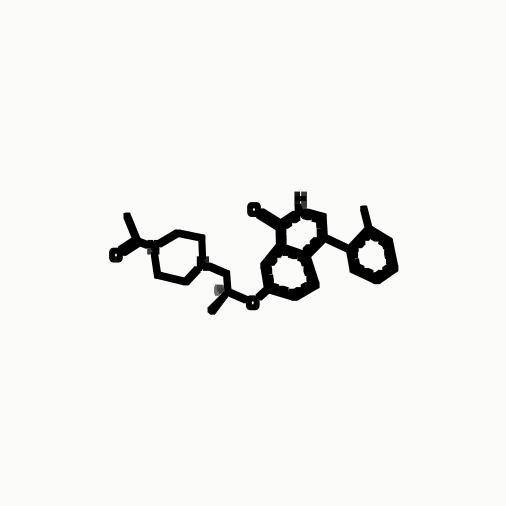 CC(=O)N1CCN(C[C@H](C)Oc2ccc3c(-c4ccccc4C)c[nH]c(=O)c3c2)CC1